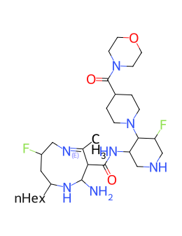 CCCCCCC1CC(F)C/N=C(\C)C(C(=O)NC2CNCC(F)C2N2CCC(C(=O)N3CCOCC3)CC2)C(N)N1